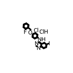 Cl.Fc1ccccc1COc1ccc(Nc2ncnc3ccc(I)cc23)cc1Cl